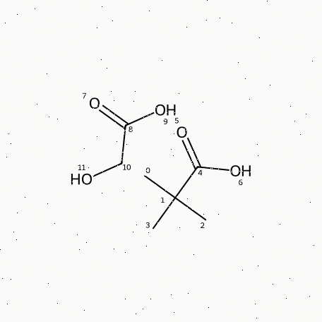 CC(C)(C)C(=O)O.O=C(O)CO